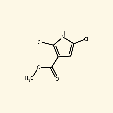 COC(=O)c1cc(Cl)[nH]c1Cl